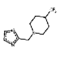 FC(F)(F)C1CCN(Cc2nccs2)CC1